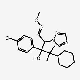 CON=CC(n1cncn1)C(O)(c1ccc(Cl)cc1)C(C)(C)C1CCCCC1